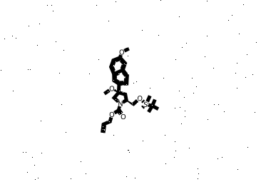 C=CCOC(=O)N1C[C@](OC)(c2ccc3cc(OC)ccc3c2)C[C@H]1CO[Si](C)(C)C(C)(C)C